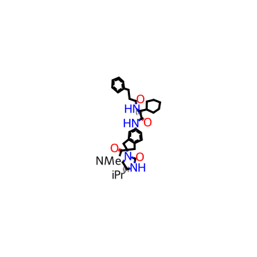 CNC(=O)C1(N2C[C@@H](C(C)C)NC2=O)Cc2ccc(NC(=O)[C@@H](NC(=O)CCc3ccccc3)C3CCCCC3)cc2C1